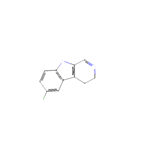 Cl.Clc1ccc2[nH]c3c(c2c1)CCN=C3